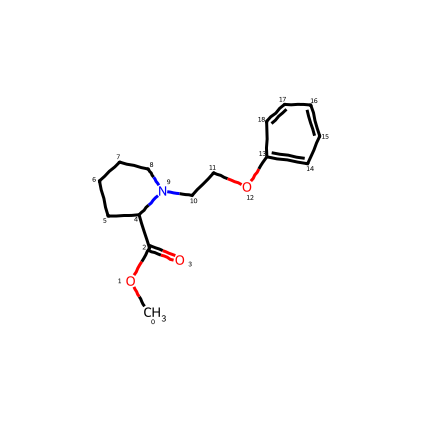 COC(=O)C1CCCCN1CCOc1ccccc1